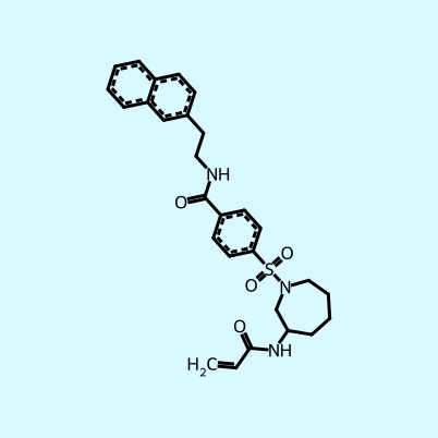 C=CC(=O)NC1CCCCN(S(=O)(=O)c2ccc(C(=O)NCCc3ccc4ccccc4c3)cc2)C1